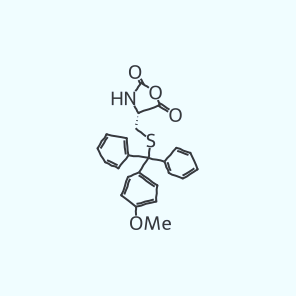 COc1ccc(C(SC[C@@H]2NC(=O)OC2=O)(c2ccccc2)c2ccccc2)cc1